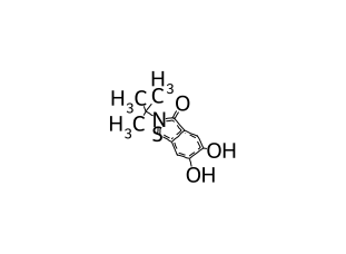 CC(C)(C)n1sc2cc(O)c(O)cc2c1=O